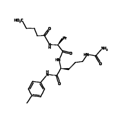 Cc1ccc(NC(=O)[C@H](CCCNC(N)=O)NC(=O)[C@@H](NC(=O)CCCC(=O)O)C(C)C)cc1